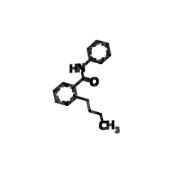 CCCCc1ccccc1C(=O)Nc1ccccc1